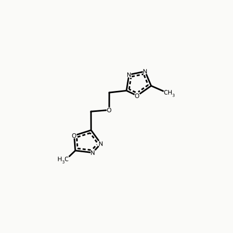 Cc1nnc(COCc2nnc(C)o2)o1